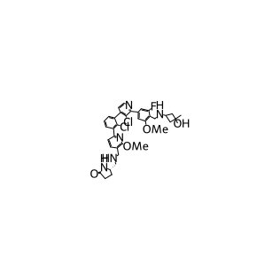 COc1cc(-c2nccc(-c3cccc(-c4ccc(CNC[C@@H]5CCC(=O)N5)c(OC)n4)c3Cl)c2Cl)cc(F)c1CNC1CC(C)(O)C1